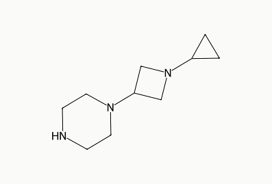 C1CN(C2CN(C3CC3)C2)CCN1